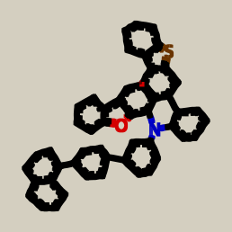 c1cc(-c2ccc(-c3cccc4ccccc34)cc2)cc(N(c2ccccc2-c2ccc3c(c2)sc2ccccc23)c2cccc3c2oc2ccccc23)c1